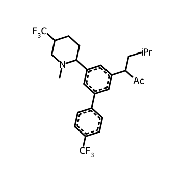 CC(=O)C(CC(C)C)c1cc(-c2ccc(C(F)(F)F)cc2)cc(C2CCC(C(F)(F)F)CN2C)c1